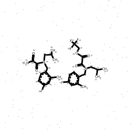 Cc1cc(F)ccc1CN(CC(C)C)C(=O)C(=O)OCC(F)(F)F.Cc1cc(F)ccc1CN(CC(C)C)C(=O)C(N)=O